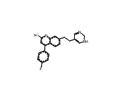 N#Cc1cc(-c2ccc(F)cc2)c2ccc(CCC3=CNCN=C3)cc2n1